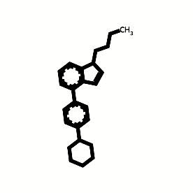 CCCC[C]1C=Cc2c1cccc2-c1ccc(C2CCCCC2)cc1